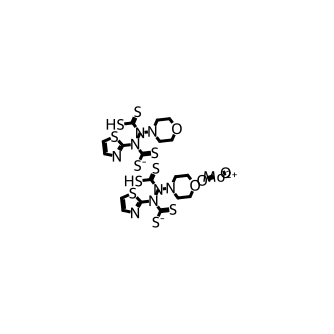 S=C([S-])N(c1nccs1)N(C(=S)S)N1CCOCC1.S=C([S-])N(c1nccs1)N(C(=S)S)N1CCOCC1.[O]=[Mo+2]=[O]